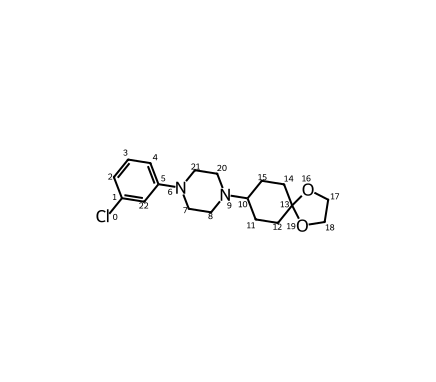 Clc1cccc(N2CCN(C3CCC4(CC3)OCCO4)CC2)c1